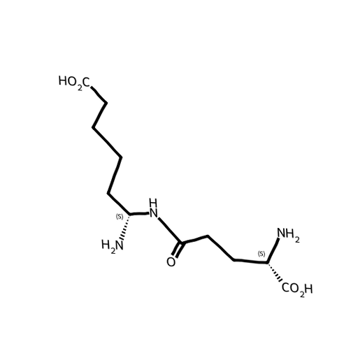 N[C@H](CCCCC(=O)O)NC(=O)CC[C@H](N)C(=O)O